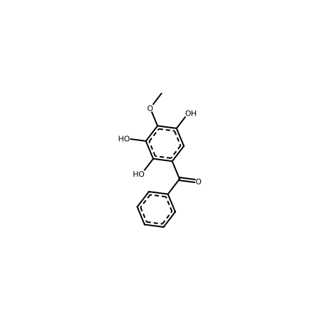 COc1c(O)cc(C(=O)c2ccccc2)c(O)c1O